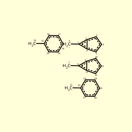 [CH2]c1c2cccc1-2.[CH2]c1c2cccc1-2.[CH2]c1ccccc1.[CH2]c1ccccc1